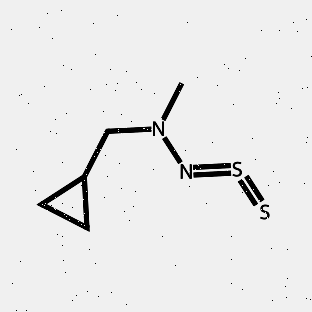 CN(CC1CC1)N=S=S